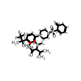 CC(C)C1C(=O)NCCN1C[C@H]1CN(S(=O)(=O)C2=CC=CCC2=S)CCN1c1ccc(C(C)(O)C(F)(F)F)cc1